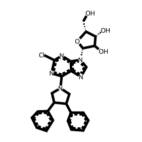 OC[C@H]1O[C@@H](n2cnc3c(N4CC(c5ccccc5)C(c5ccccc5)C4)nc(Cl)nc32)C(O)[C@H]1O